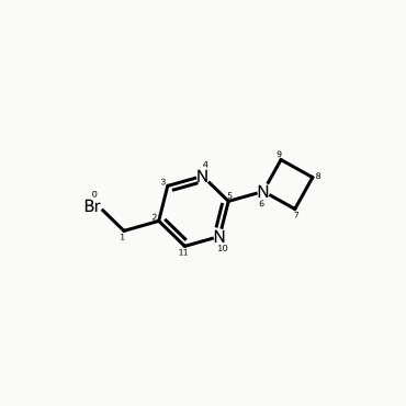 BrCc1cnc(N2CCC2)nc1